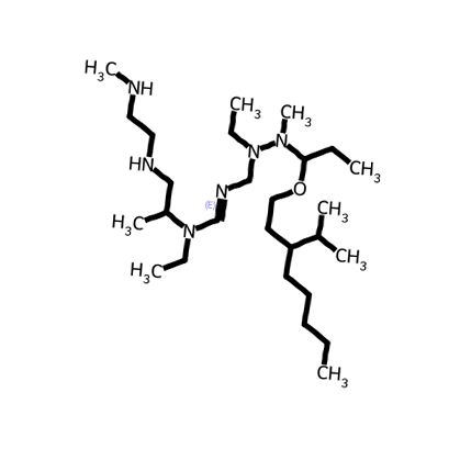 CCCCCC(CCOC(CC)N(C)N(CC)C/N=C/N(CC)C(C)CNCCNC)C(C)C